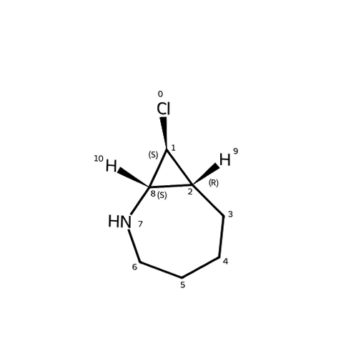 Cl[C@H]1[C@@H]2CCCCN[C@H]12